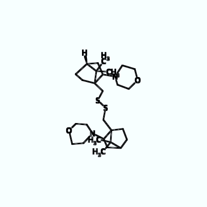 CC1(C)C2CCC1(CSSCC13CC[C@H](CC1N1CCOCC1)C3(C)C)C(N1CCOCC1)C2